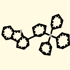 c1ccc([Si](c2ccccc2)(c2ccccc2)c2cccc(-c3cccc4c3sc3ccccc34)c2)cc1